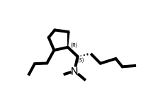 CCCCC[C@@H]([C@@H]1CCCC1CCC)N(C)C